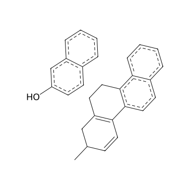 CC1C=CC2=C(CCc3c2ccc2ccccc32)C1.Oc1ccc2ccccc2c1